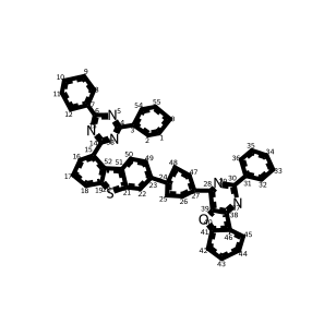 c1ccc(-c2nc(-c3ccccc3)nc(-c3cccc4sc5cc(-c6ccc(-c7nc(-c8ccccc8)nc8c7oc7ccccc78)cc6)ccc5c34)n2)cc1